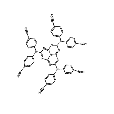 N#Cc1ccc(N(C2=NC3=NC(N(c4ccc(C#N)cc4)c4ccc(C#N)cc4)=NC4=NC(N(c5ccc(C#N)cc5)c5ccc(C#N)cc5)=NC(=N2)N34)c2ccc(C#N)cc2)cc1